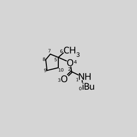 CCC(C)NC(=O)OC1(C)CCCC1